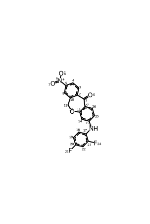 O=C1c2ccc([N+](=O)[O-])cc2COc2cc(Nc3ccc(F)cc3F)ccc21